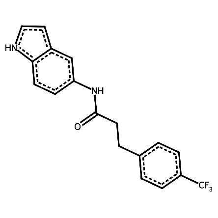 O=C(CCc1ccc(C(F)(F)F)cc1)Nc1ccc2[nH]ccc2c1